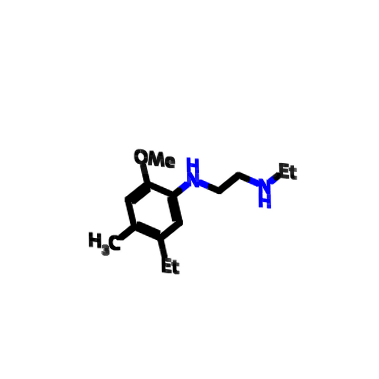 CCNCCNc1cc(CC)c(C)cc1OC